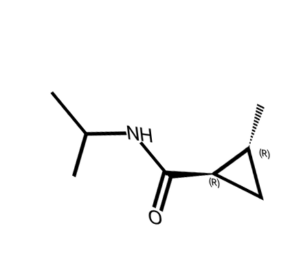 CC(C)NC(=O)[C@@H]1C[C@H]1C